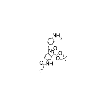 CCCC(=O)Nc1ccc2c(c1)C(C1OCC(C)(C)CO1)C(=O)N2Cc1ccc(N)cc1